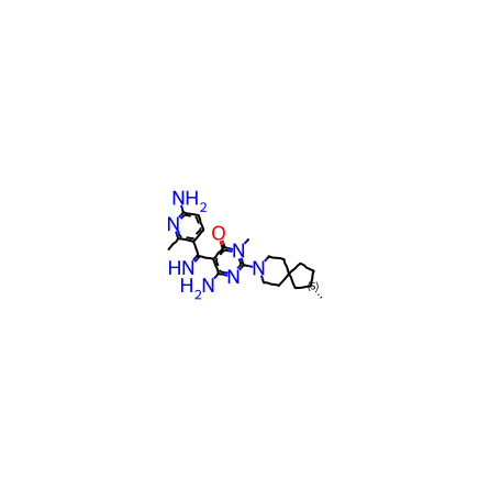 Cc1nc(N)ccc1C(=N)c1c(N)nc(N2CCC3(CC[C@H](C)C3)CC2)n(C)c1=O